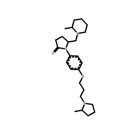 CC1CCCN1CCCOc1ccc(N2C(=O)CCC2CN2CCCCC2C)cc1